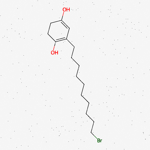 OC1=CC(CCCCCCCCCCBr)=C(O)CC1